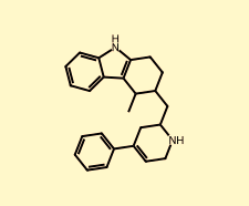 CC1c2c([nH]c3ccccc23)CCC1CC1CC(c2ccccc2)=CCN1